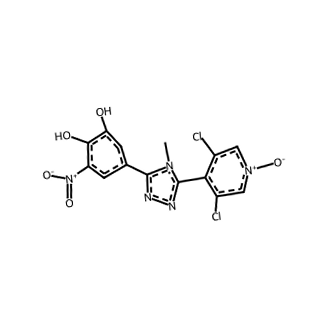 Cn1c(-c2cc(O)c(O)c([N+](=O)[O-])c2)nnc1-c1c(Cl)c[n+]([O-])cc1Cl